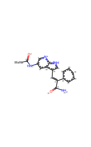 CNC(=O)Nc1cnc2[nH]cc(C=C(C(N)=O)c3ccccc3)c2c1